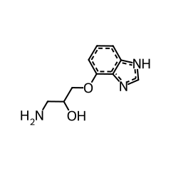 NCC(O)COc1cccc2[nH]cnc12